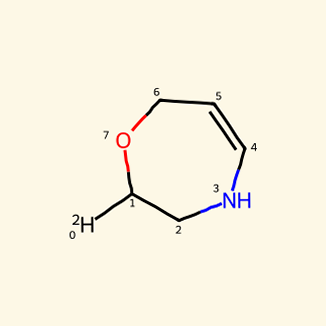 [2H]C1CNC=CCO1